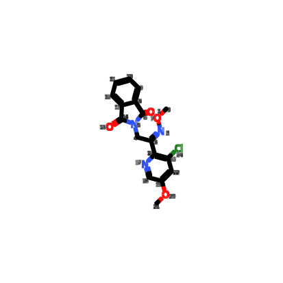 CO/N=C(\CN1C(=O)c2ccccc2C1=O)c1ncc(OC)cc1Cl